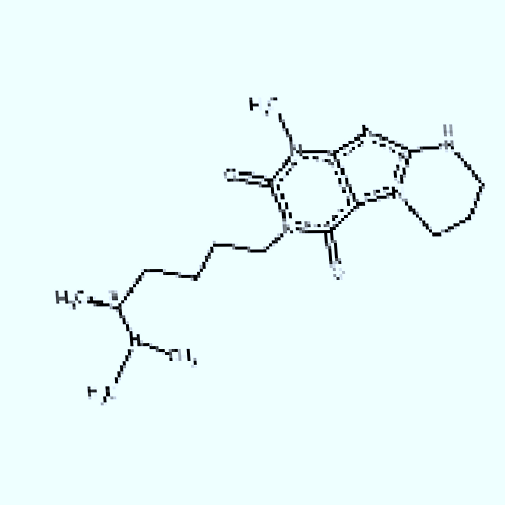 C[C@@H](CCCCn1c(=O)c2c(nc3n2CCCN3)n(C)c1=O)N(C)C